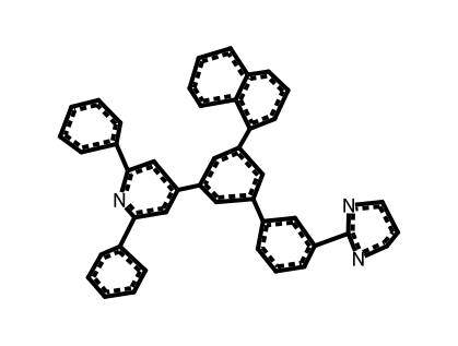 c1ccc(-c2cc(-c3cc(-c4cccc(-c5ncccn5)c4)cc(-c4cccc5ccccc45)c3)cc(-c3ccccc3)n2)cc1